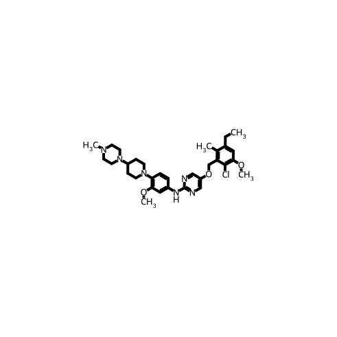 CCc1cc(OC)c(Cl)c(COc2cnc(Nc3ccc(N4CCC(N5CCN(C)CC5)CC4)c(OC)c3)nc2)c1C